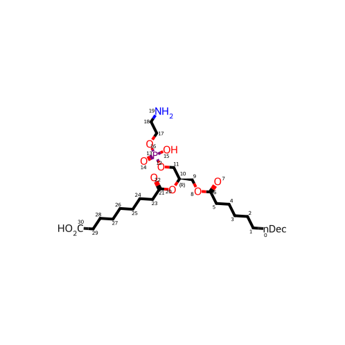 CCCCCCCCCCCCCCCC(=O)OC[C@H](COP(=O)(O)OCCN)OC(=O)CCCCCCCC(=O)O